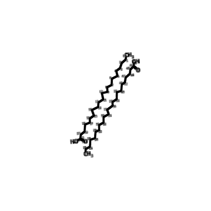 CCCCCCCCCCCCCCCCCCCCCC(=O)O.CCCCCCCCCCCCCCCCCCCCCCC(=O)O